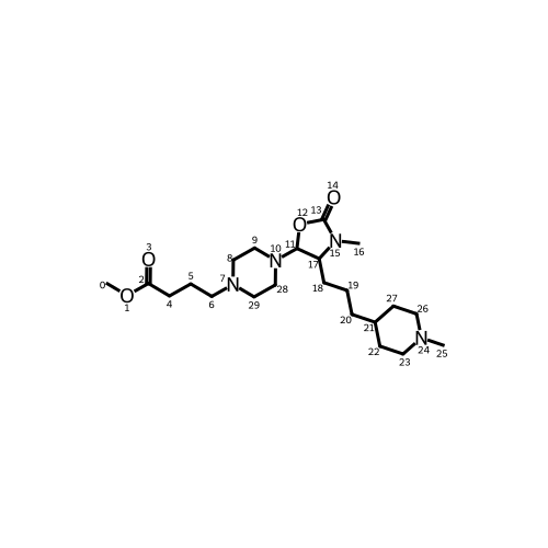 COC(=O)CCCN1CCN(C2OC(=O)N(C)C2CCCC2CCN(C)CC2)CC1